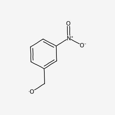 [O]Cc1cccc([N+](=O)[O-])c1